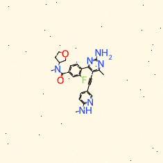 CNc1ccc(C#Cc2c(C)nc(N)nc2-c2ccc(C(=O)N(C)C3CCOC3)cc2F)cn1